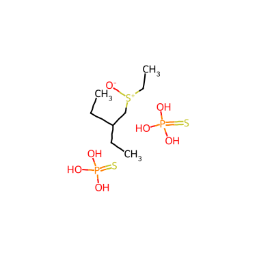 CCC(CC)C[S+]([O-])CC.OP(O)(O)=S.OP(O)(O)=S